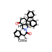 COc1ccccc1[C@H](C)C(=O)N1C[C@@H]2C(=O)CCC(c3ccccc3)(c3ccccc3)[C@@H]2C1